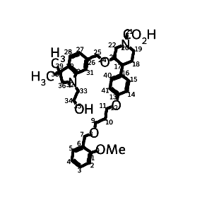 COc1ccccc1COCCCOc1ccc(C2CCN(C(=O)O)CC2OCc2ccc3c(c2)N(CCO)CC3(C)C)cc1